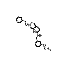 COc1cccc(CNc2ccc3c(n2)=CN(OCc2ccccc2)CC=3)c1